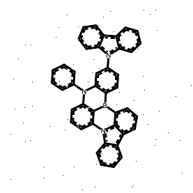 c1ccc(N2c3cc(-n4c5ccccc5c5ccccc54)ccc3B3c4c2cccc4-n2c4ccccc4c4cccc3c42)cc1